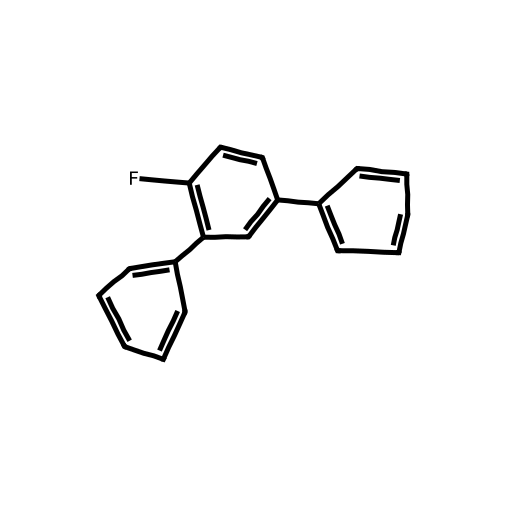 Fc1ccc(-c2ccccc2)cc1-c1ccccc1